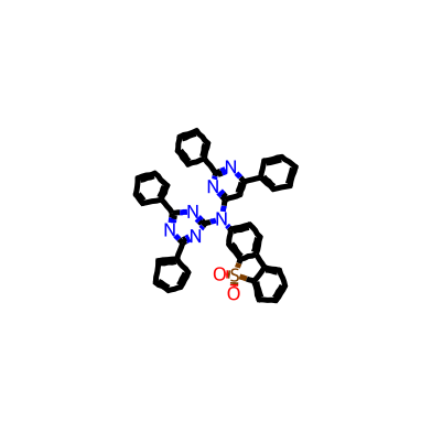 O=S1(=O)c2ccccc2-c2ccc(N(c3cc(-c4ccccc4)nc(-c4ccccc4)n3)c3nc(-c4ccccc4)nc(-c4ccccc4)n3)cc21